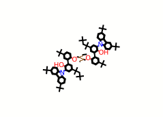 CCS(C)(COc1ccc(C(C)(C)C)cc1-c1cc(C(C)(C)CC(C)(C)C)cc(-n2c3ccc(C(C)(C)C)cc3c3cc(C(C)(C)C)ccc32)c1O)COc1ccc(C(C)(C)C)cc1-c1cc(C(C)(C)CC(C)(C)C)cc(-n2c3ccc(C(C)(C)C)cc3c3cc(C(C)(C)C)ccc32)c1O